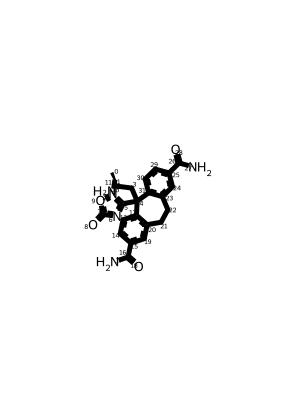 C[C@H](N)CC1(c2nc(=O)on2C)c2ccc(C(N)=O)cc2CCc2cc(C(N)=O)ccc21